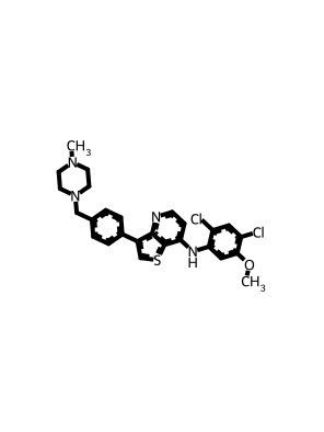 COc1cc(Nc2ccnc3c(-c4ccc(CN5CCN(C)CC5)cc4)csc23)c(Cl)cc1Cl